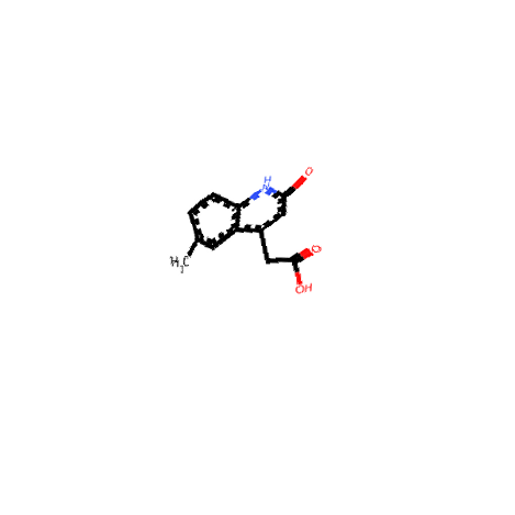 Cc1ccc2[nH]c(=O)cc(CC(=O)O)c2c1